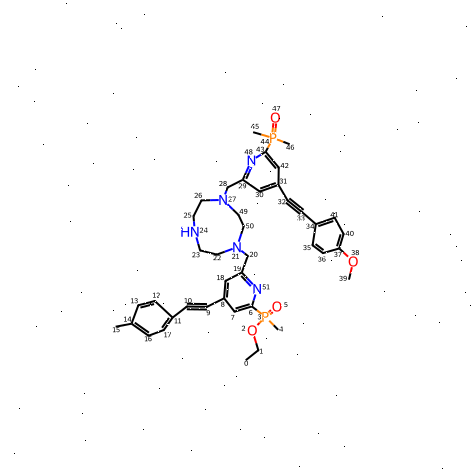 CCOP(C)(=O)c1cc(C#Cc2ccc(C)cc2)cc(CN2CCNCCN(Cc3cc(C#Cc4ccc(OC)cc4)cc(P(C)(C)=O)n3)CC2)n1